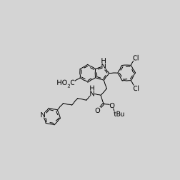 CC(C)(C)OC(=O)C(Cc1c(-c2cc(Cl)cc(Cl)c2)[nH]c2ccc(C(=O)O)cc12)NCCCCc1cccnc1